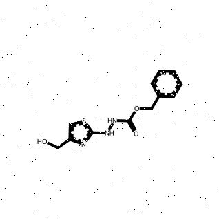 O=C(NNc1nc(CO)cs1)OCc1ccccc1